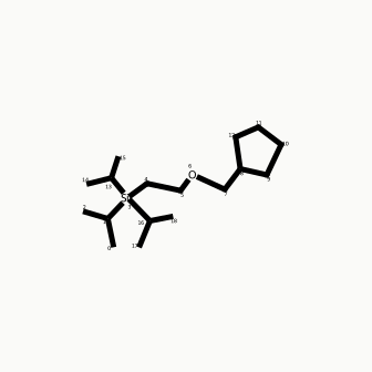 CC(C)[Si](CCOCC1CCCC1)(C(C)C)C(C)C